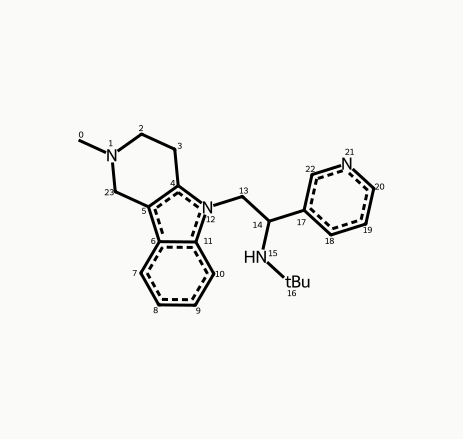 CN1CCc2c(c3ccccc3n2CC(NC(C)(C)C)c2cccnc2)C1